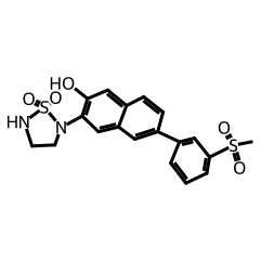 CS(=O)(=O)c1cccc(-c2ccc3cc(O)c(N4CCNS4(=O)=O)cc3c2)c1